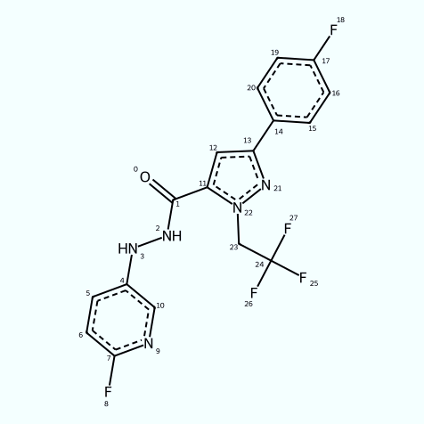 O=C(NNc1ccc(F)nc1)c1cc(-c2ccc(F)cc2)nn1CC(F)(F)F